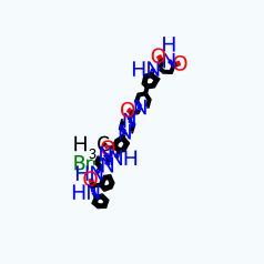 COc1cc(N2CCN(C(=O)CN3CCC(c4ccc(NC5CCC(=O)NC5=O)cc4)CC3)CC2)ccc1Nc1ncc(Br)c(Nc2ccccc2C(=O)Nc2ccccc2)n1